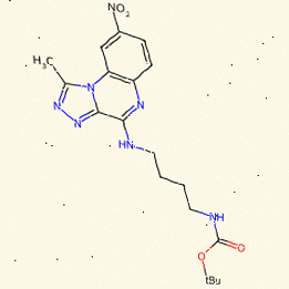 Cc1nnc2c(NCCCCNC(=O)OC(C)(C)C)nc3ccc([N+](=O)[O-])cc3n12